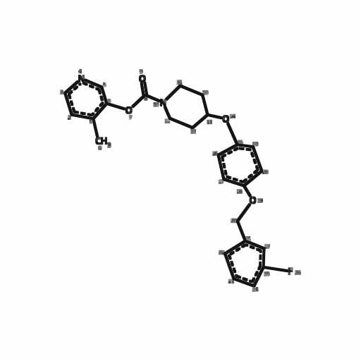 Cc1ccncc1OC(=O)N1CCC(Oc2ccc(OCc3cccc(F)c3)cc2)CC1